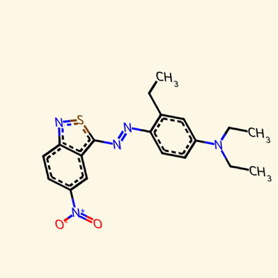 CCc1cc(N(CC)CC)ccc1N=Nc1snc2ccc([N+](=O)[O-])cc12